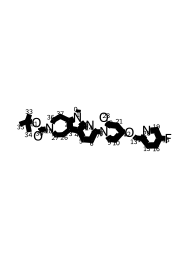 Cn1c2c(c3ccc(-n4ccc(OCc5ccc(F)cn5)cc4=O)nc31)CCN(C(=O)OC(C)(C)C)CC2